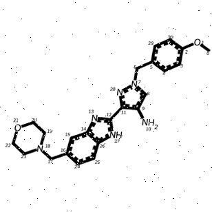 COc1ccc(Cn2cc(N)c(-c3nc4cc(CN5CCOCC5)ccc4[nH]3)n2)cc1